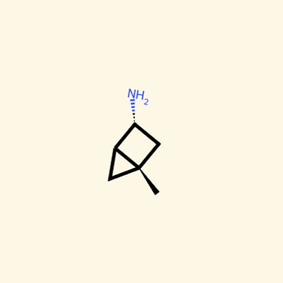 C[C@@]12CC1[C@H](N)C2